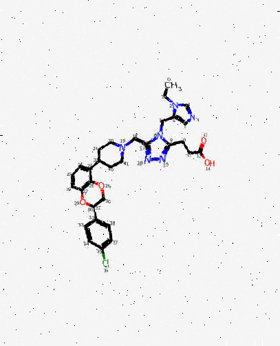 CCn1cncc1Cn1c(CCC(=O)O)nnc1CN1CCC(c2cccc3c2OC[C@@H](c2ccc(Cl)cc2)O3)CC1